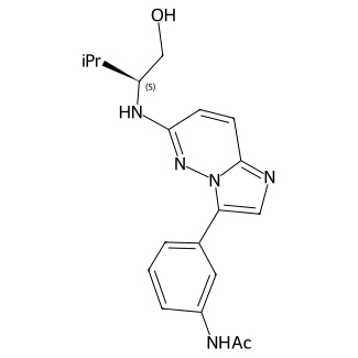 CC(=O)Nc1cccc(-c2cnc3ccc(N[C@H](CO)C(C)C)nn23)c1